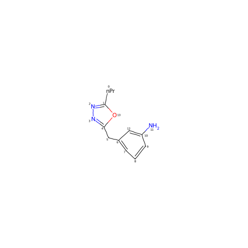 CCCc1nnc(Cc2cccc(N)c2)o1